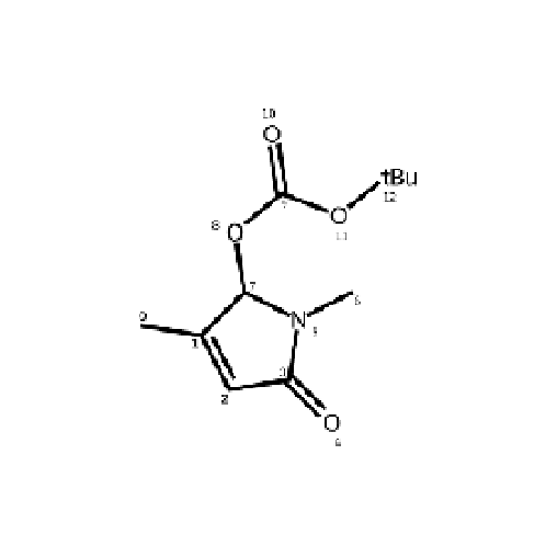 CC1=CC(=O)N(C)C1OC(=O)OC(C)(C)C